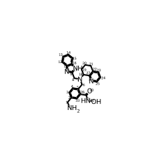 NCc1ccc(CN(Cc2nc3ccccc3[nH]2)C2CCCc3cccnc32)c(C(=O)NO)c1